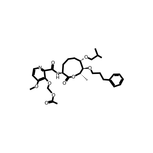 COc1ccnc(C(=O)N[C@H]2CCC[C@H](OCC(C)C)[C@@H](OCCCc3ccccc3)[C@H](C)OC2=O)c1OCOC(C)=O